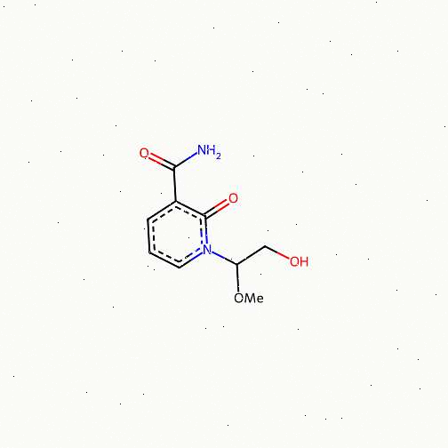 COC(CO)n1cccc(C(N)=O)c1=O